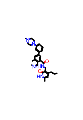 CCCc1cc(C)[nH]c(=O)c1CNC(=O)c1cc(-c2cccc(N3CCN(C)CC3)c2)cc(C)c1/C=N\C